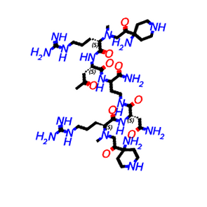 CC(=O)C[C@H](NC(=O)[C@H](CCCNC(=N)N)N(C)CC(=O)C1(N)CCNCC1)C(=O)NC(CCNC(=O)[C@H](CC(N)=O)NC(=O)[C@H](CCCNC(=N)N)N(C)CC(=O)C1(N)CCNCC1)C(N)=O